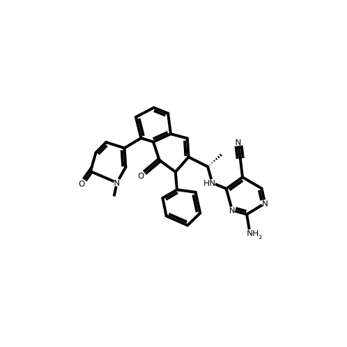 C[C@H](Nc1nc(N)ncc1C#N)C1=Cc2cccc(-c3ccc(=O)n(C)c3)c2C(=O)C1c1ccccc1